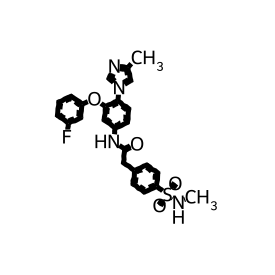 CNS(=O)(=O)c1ccc(CC(=O)Nc2ccc(-n3cnc(C)c3)c(Oc3cccc(F)c3)c2)cc1